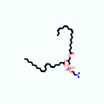 CC/C=C\C/C=C\C/C=C\CCCCCCCC(=O)OCC(COP(=O)(O)OCCN(C)C)OC(=O)CCC/C=C\C/C=C\C/C=C\CCCCCCCC